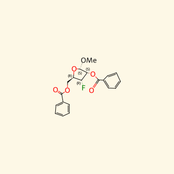 CO[C@H]1O[C@H](COC(=O)c2ccccc2)[C@@H](F)[C@H]1OC(=O)c1ccccc1